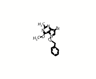 COc1nc(C)nc2c(Br)cn(OCc3ccccc3)c12